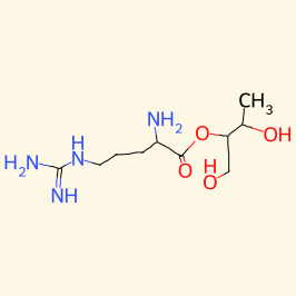 CC(O)C(CO)OC(=O)C(N)CCCNC(=N)N